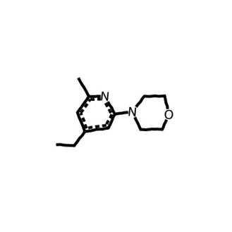 CCc1cc(C)nc(N2CCOCC2)c1